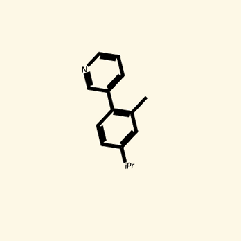 Cc1cc(C(C)C)ccc1-c1cccnc1